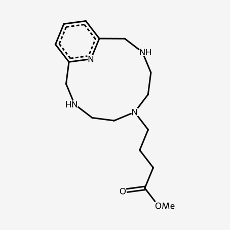 COC(=O)CCCN1CCNCc2cccc(n2)CNCC1